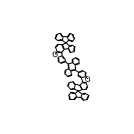 c1ccc2c(c1)-c1ccccc1C21c2ccccc2-c2c1ccc1oc3ccc(-c4c5ccccc5c(-c5ccc6oc7ccc8c(c7c6c5)-c5ccccc5C85c6ccccc6-c6ccccc65)c5ccccc45)cc3c21